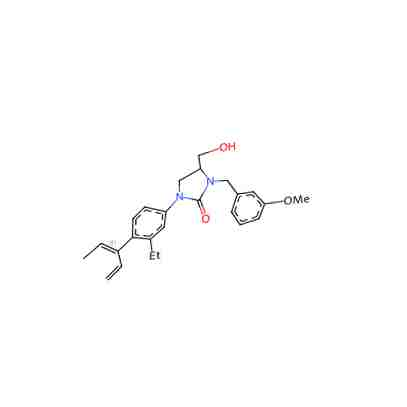 C=C/C(=C\C)c1ccc(N2CC(CO)N(Cc3cccc(OC)c3)C2=O)cc1CC